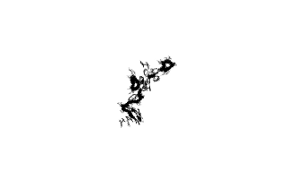 CC(NP(OCC1CCC(c2ccc3c(N)ncnn23)O1)Oc1ccccc1)C(=O)OC1CCCC1